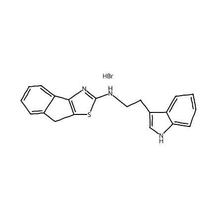 Br.c1ccc2c(c1)Cc1sc(NCCc3c[nH]c4ccccc34)nc1-2